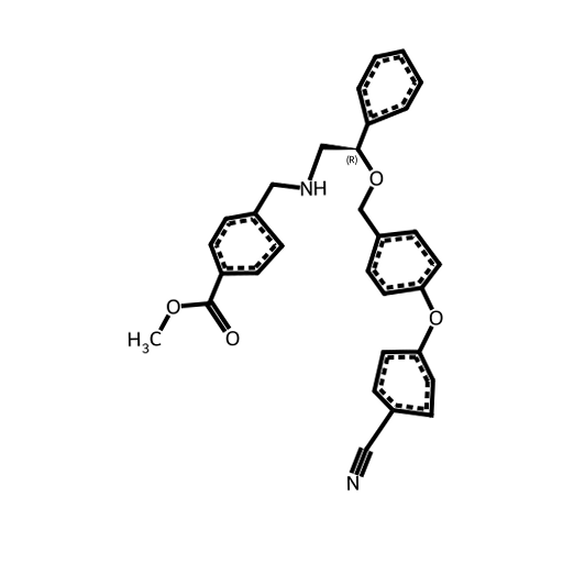 COC(=O)c1ccc(CNC[C@H](OCc2ccc(Oc3ccc(C#N)cc3)cc2)c2ccccc2)cc1